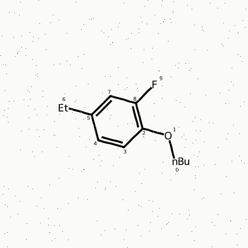 CCCCOc1ccc(CC)cc1F